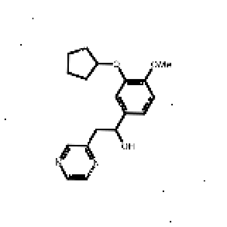 COc1ccc(C(O)Cc2cnccn2)cc1OC1CCCC1